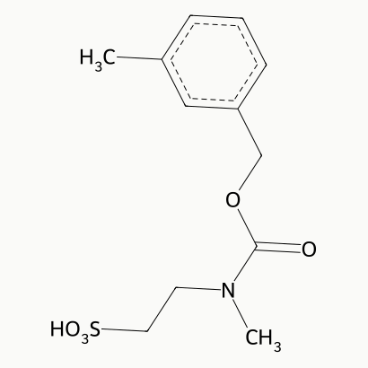 Cc1cccc(COC(=O)N(C)CCS(=O)(=O)O)c1